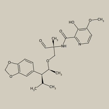 COc1ccnc(C(=O)N[C@@](C)(C=O)CO[C@@H](C)[C@H](c2ccc3c(c2)OCO3)C(C)C)c1O